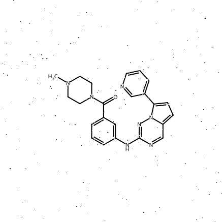 CN1CCN(C(=O)c2cccc(Nc3ncc4ccc(-c5cccnc5)n4n3)c2)CC1